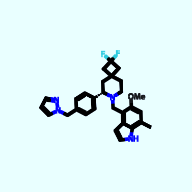 COc1cc(C)c2[nH]ccc2c1CN1CCC2(C[C@H]1c1ccc(Cn3cccn3)cc1)CC(F)(F)C2